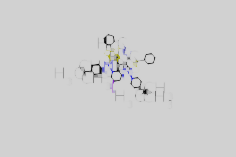 C/C=C/CC1=C(SC(C)c2ccccc2)N(c2ccc(C(C)(C)C)cc2)c2cc(I)cc3c2B1C1=C(SC(c2ccccc2)S1)N3c1ccc(C(C)(C)C)cc1